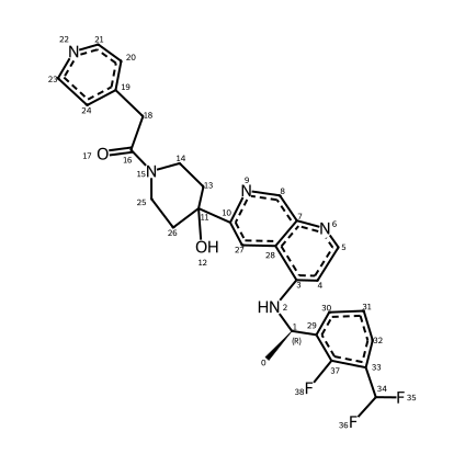 C[C@@H](Nc1ccnc2cnc(C3(O)CCN(C(=O)Cc4ccncc4)CC3)cc12)c1cccc(C(F)F)c1F